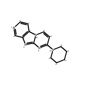 c1cc2c(cn1)nc1nc(N3CCCCC3)ccn12